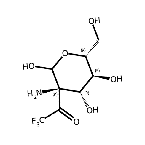 N[C@@]1(C(=O)C(F)(F)F)C(O)O[C@H](CO)[C@@H](O)[C@@H]1O